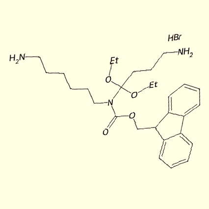 Br.CCOC(CCCN)(OCC)N(CCCCCCN)C(=O)OCC1c2ccccc2-c2ccccc21